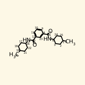 CC1CCC(NC(=O)c2cccc(C(=O)NC3CCC(C)CC3)c2)CC1